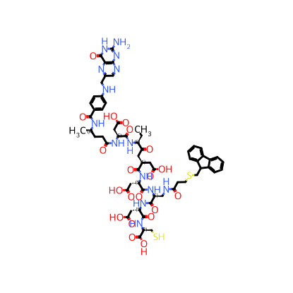 CC[C@H](NC(=O)[C@H](CC(=O)O)NC(=O)CC[C@@H](C)NC(=O)c1ccc(NCc2cnc3nc(N)[nH]c(=O)c3n2)cc1)C(=O)C[C@@H](CC(=O)O)C(=O)N[C@@H](CC(=O)O)C(=O)N[C@@H](CNC(=O)CCSCC1c2ccccc2-c2ccccc21)C(=O)N[C@@H](CC(=O)O)C(=O)N[C@@H](CS)C(=O)O